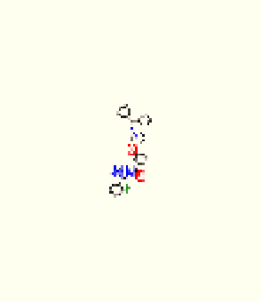 CN(C)C(CNC(=O)c1cccc(OC2CCCN(CC(c3ccccc3)c3ccccc3)C2)c1)c1ccccc1F